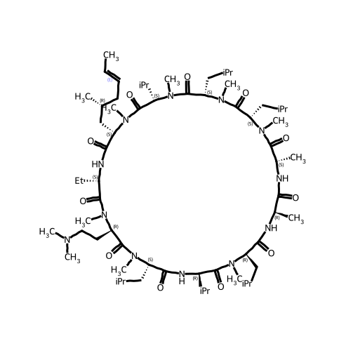 C/C=C/C[C@@H](C)C[C@H]1C(=O)N[C@@H](CC)C(=O)N(C)[C@H](CCN(C)C)C(=O)N(C)[C@@H](CC(C)C)C(=O)N[C@H](C(C)C)C(=O)N(C)[C@H](CC(C)C)C(=O)N[C@H](C)C(=O)N[C@@H](C)C(=O)N(C)[C@@H](CC(C)C)C(=O)N(C)[C@@H](CC(C)C)C(=O)N(C)[C@@H](C(C)C)C(=O)N1C